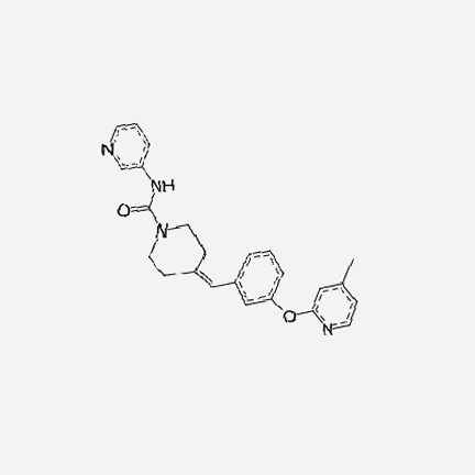 Cc1ccnc(Oc2cccc(C=C3CCN(C(=O)Nc4cccnc4)CC3)c2)c1